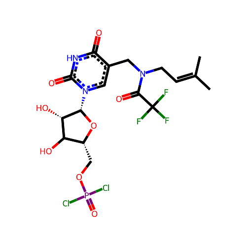 CC(C)=CCN(Cc1cn([C@@H]2O[C@H](COP(=O)(Cl)Cl)C(O)[C@@H]2O)c(=O)[nH]c1=O)C(=O)C(F)(F)F